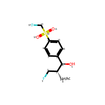 CC(=O)N[C@H](CF)[C@H](O)c1ccc(S(=O)(=O)CF)cc1